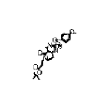 COc1ccc(S(=O)(=O)c2ncc3c(n2)CCN(CCC(=O)OC(C)(C)C)C3=O)cc1